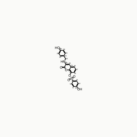 O=c1oc2c(OS(=O)(=O)c3ccc(O)cc3)cccc2cc1NCc1ccc(O)cc1